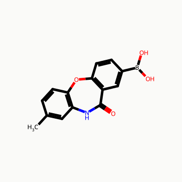 Cc1ccc2c(c1)NC(=O)c1cc(B(O)O)ccc1O2